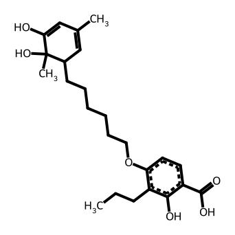 CCCc1c(OCCCCCCC2C=C(C)C=C(O)C2(C)O)ccc(C(=O)O)c1O